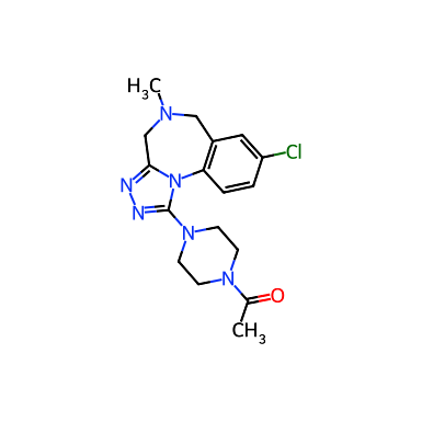 CC(=O)N1CCN(c2nnc3n2-c2ccc(Cl)cc2CN(C)C3)CC1